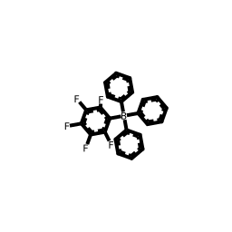 Fc1c(F)c(F)c([B-](c2ccccc2)(c2ccccc2)c2ccccc2)c(F)c1F